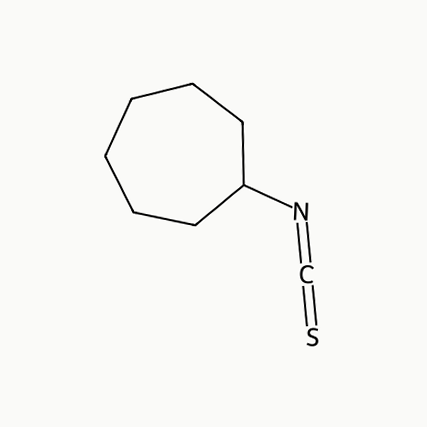 S=C=NC1CCCCCC1